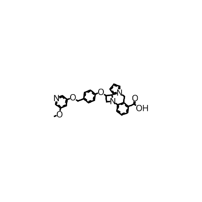 COc1cncc(OCc2ccc(OC3CN(c4cccc(C(=O)O)c4Cn4cccc4)C3)cc2)c1